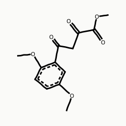 COC(=O)C(=O)CC(=O)c1cc(OC)ccc1OC